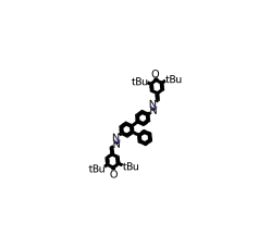 CC(C)(C)C1=CC(=C/N=N/c2ccc(-c3ccc(/N=N/C=C4C=C(C(C)(C)C)C(=O)C(C(C)(C)C)=C4)cc3-c3ccccc3)cc2)C=C(C(C)(C)C)C1=O